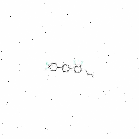 CC=CCc1ccc(-c2ccc(C3CCC(F)(F)CC3)cc2)c(F)c1F